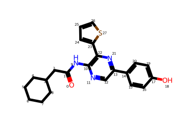 O=C(CC1CCCCC1)Nc1ncc(-c2ccc(O)cc2)nc1-c1cccs1